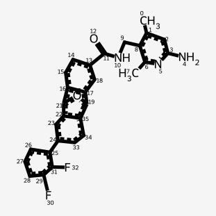 Cc1cc(N)nc(C)c1CNC(=O)c1ccc2c(c1)c1oc2c2cc(-c3cccc(F)c3F)ccc21